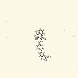 COc1ccc(N2CCN(CCN3C(=O)c4ccccc4C(C)(C)C3=O)CC2)cc1OC